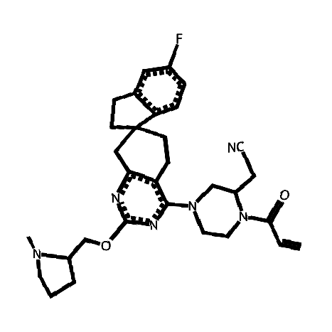 C=CC(=O)N1CCN(c2nc(OCC3CCCN3C)nc3c2CCC2(CCc4cc(F)ccc42)C3)CC1CC#N